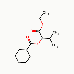 CCOC(=O)C(OC(=O)C1CCCCC1)C(C)C